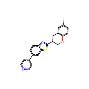 Fc1ccc2c(c1)CC(c1nc3ccc(-c4ccncc4)cc3s1)CO2